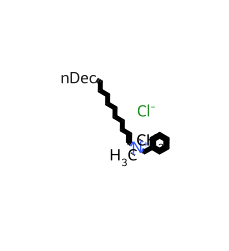 CCCCCCCCCCCCCCCCCCC=C[N+](C)(C)Cc1ccccc1.[Cl-]